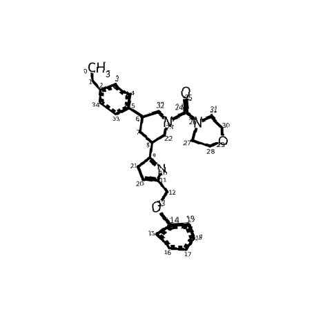 CCc1ccc(C2CC(C3=NC(COc4ccccc4)=CC3)CN(C(=O)N3CCOCC3)C2)cc1